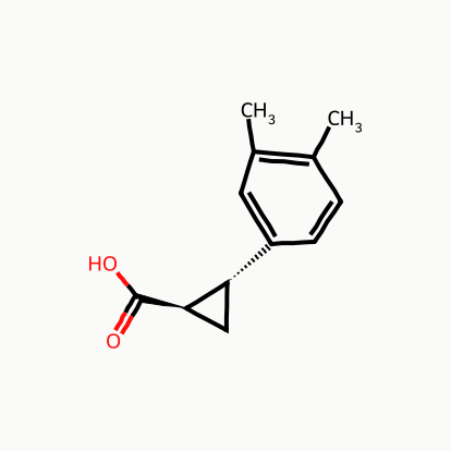 Cc1ccc([C@@H]2C[C@H]2C(=O)O)cc1C